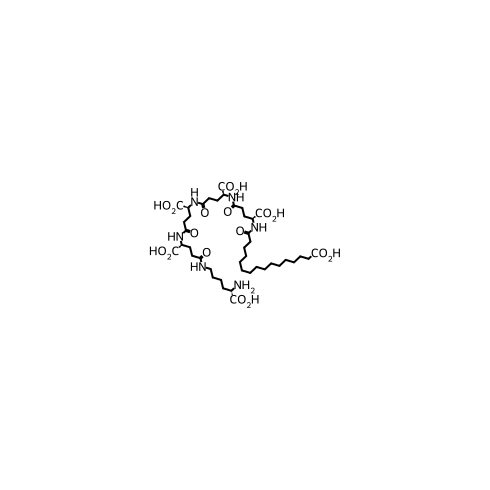 N[C@@H](CCCCNC(=O)CC[C@H](NC(=O)CC[C@H](NC(=O)CC[C@H](NC(=O)CC[C@H](NC(=O)CCCCCCCCCCCCCCC(=O)O)C(=O)O)C(=O)O)C(=O)O)C(=O)O)C(=O)O